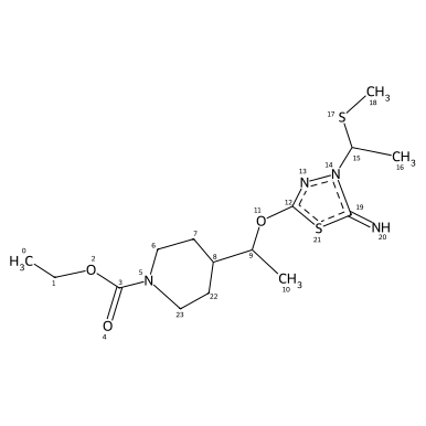 CCOC(=O)N1CCC(C(C)Oc2nn(C(C)SC)c(=N)s2)CC1